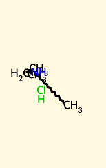 C=CC(C)(C)NCCCCCCCCCCCCCCCC.Cl